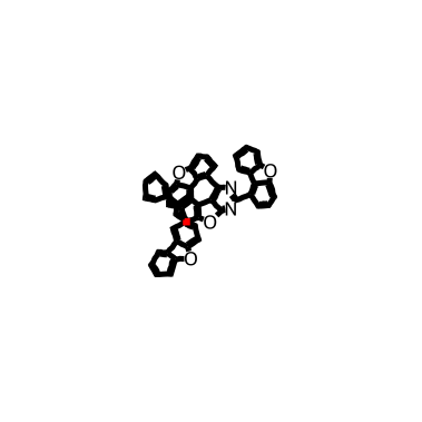 c1ccc(-c2ccc3oc4nc(-c5cccc6oc7ccccc7c56)nc(-c5cccc6oc7ccc(-c8ccc9oc%10ccccc%10c9c8)cc7c56)c4c3c2)cc1